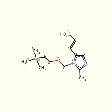 Cc1ncc(C=CC(=O)O)n1COCC[Si](C)(C)C